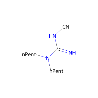 CCCCCN(CCCCC)C(=N)NC#N